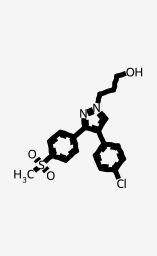 CS(=O)(=O)c1ccc(-c2nn(CCCO)cc2-c2ccc(Cl)cc2)cc1